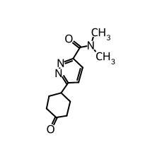 CN(C)C(=O)c1ccc(C2CCC(=O)CC2)nn1